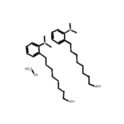 CCCCCCCCCCCCCCCCCCc1ccccc1N(C)C.CCCCCCCCCCCCCCCCCCc1ccccc1N(C)C.O=S(=O)(O)O